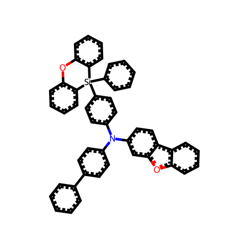 c1ccc(-c2ccc(N(c3ccc([Si]4(c5ccccc5)c5ccccc5Oc5ccccc54)cc3)c3ccc4c(c3)oc3ccccc34)cc2)cc1